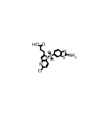 Nc1nc2ccc(S(=O)(=O)n3c(CCC(=O)O)cc4nc(Cl)ccc43)cc2s1